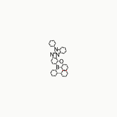 c1ccc(-c2ccccc2B2c3ccccc3Oc3c2ccc2nc4n(-c5ccccc5)c5ccccc5n4c32)cc1